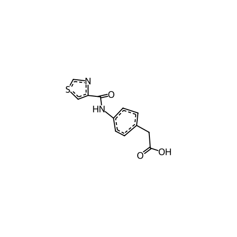 O=C(O)Cc1ccc(NC(=O)c2cscn2)cc1